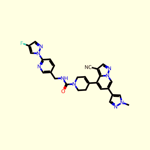 Cn1cc(-c2cc(C3=CCN(C(=O)NCc4ccc(-n5cc(F)cn5)nc4)CC3)c3c(C#N)cnn3c2)cn1